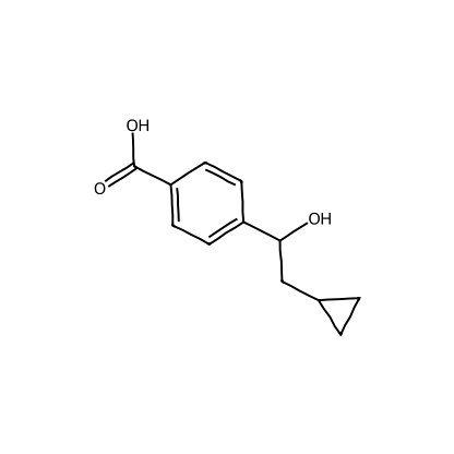 O=C(O)c1ccc(C(O)CC2CC2)cc1